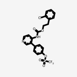 O=C(Nc1ccncc1-c1ccc(OS(=O)(=O)C(F)(F)F)cc1)OCCc1ccccc1Cl